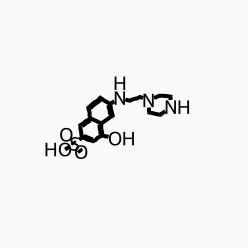 O=S(=O)(O)c1cc(O)c2cc(NCCN3CCNCC3)ccc2c1